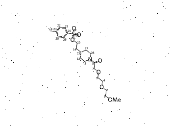 COCCOCCOCC(=O)N1CCC(CCOS(=O)(=O)c2ccc(C)cc2)CC1